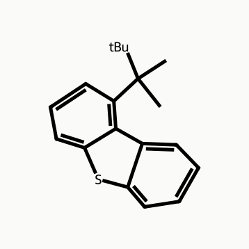 CC(C)(C)C(C)(C)c1cccc2sc3ccccc3c12